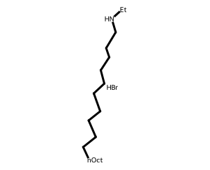 Br.CCCCCCCCCCCCCCCCCCNCC